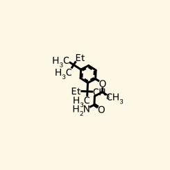 CCC(C)(C)c1ccc(OC(C)CC(N)=O)c(C(C)(C)CC)c1